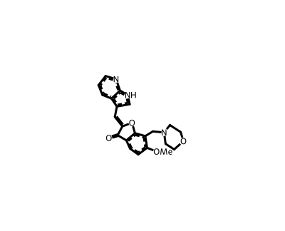 COc1ccc2c(c1CN1CCOCC1)OC(=Cc1c[nH]c3ncccc13)C2=O